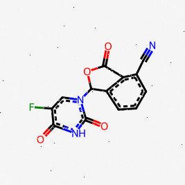 N#Cc1cccc2c1C(=O)OC2n1cc(F)c(=O)[nH]c1=O